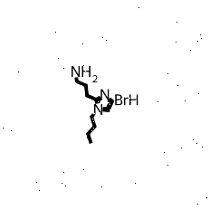 Br.CCCCn1ccnc1CCCN